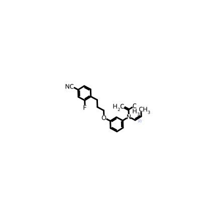 C=C(C)N(/C=C\C)c1cccc(OCCCc2ccc(C#N)cc2F)c1